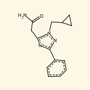 NC(=O)Cc1nc(-c2ccccc2)nn1CC1CC1